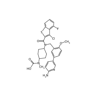 COc1ccc(-c2ccc(N)nc2)cc1CN(C(=O)c1sc2cccc(F)c2c1Cl)C1CCC(N(C)C(=O)O)CC1